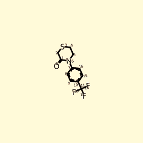 O=C1CSCCN1c1ccc(C(F)(F)F)cc1